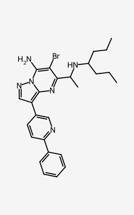 CCCC(CCC)NC(C)c1nc2c(-c3ccc(-c4ccccc4)nc3)cnn2c(N)c1Br